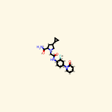 NC(=O)C1[CH]C(C2CC2)CN1CC(=O)Nc1ccc(-n2ccccc2=O)cc1F